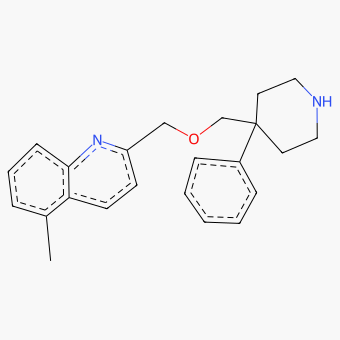 Cc1cccc2nc(COCC3(c4ccccc4)CCNCC3)ccc12